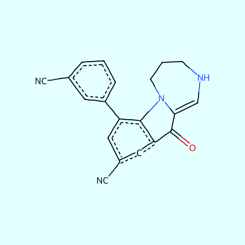 N#Cc1cccc(-c2cc(C#N)cc3c2N2CCCNC=C2C3=O)c1